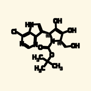 CC(C)(C)OC(=O)N1[C@H](CO)C(O)=C(O)[C@@H]1c1c[nH]c2c(Cl)ncnc12